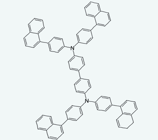 C1=Cc2c(cccc2-c2ccc(N(c3ccc(-c4ccc(N(c5ccc(-c6cccc7ccccc67)cc5)c5ccc(-c6cccc7ccccc67)cc5)cc4)cc3)c3ccc(-c4cccc5ccccc45)cc3)cc2)CC1